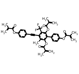 C=C(C)C(=O)Oc1ccc(C#Cc2c(C)c(OC(=O)C(=C)C)c(-c3ccc(OC(=O)C(=C)C)cc3)c(OC(=O)C(=C)C)c2C(F)(F)F)cc1